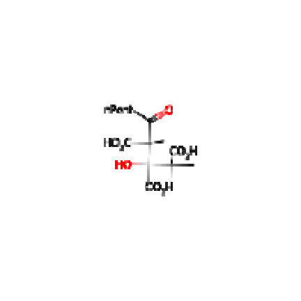 CCCCCC(=O)C(C)(C(=O)O)C(O)(C(=O)O)C(C)(C)C(=O)O